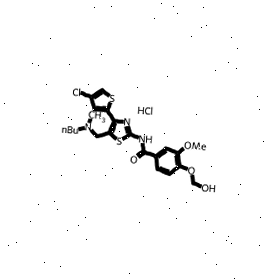 CCCCN(C)Cc1sc(NC(=O)c2ccc(OCO)c(OC)c2)nc1-c1cc(Cl)cs1.Cl